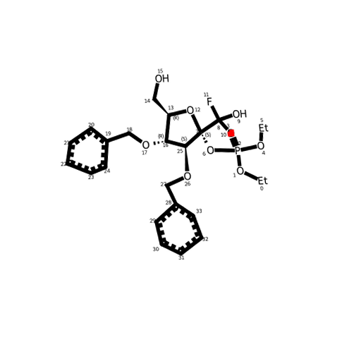 CCOP(=O)(OCC)O[C@@]1(C(O)(F)F)O[C@H](CO)[C@@H](OCc2ccccc2)[C@@H]1OCc1ccccc1